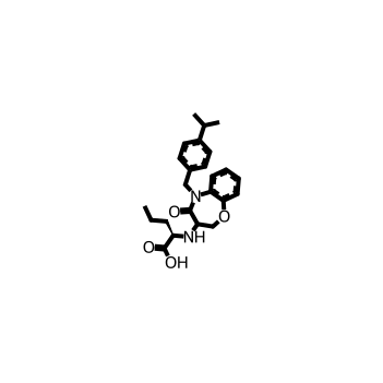 CCC[C@@H](NC1COc2ccccc2N(Cc2ccc(C(C)C)cc2)C1=O)C(=O)O